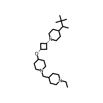 CCN1CCC(CN2CCC(O[C@H]3C[C@@H](N4CCC(C(C)C(C)(C)C)CC4)C3)CC2)CC1